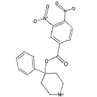 O=C(OC1(c2ccccc2)CCNCC1)c1ccc([N+](=O)[O-])c([N+](=O)[O-])c1